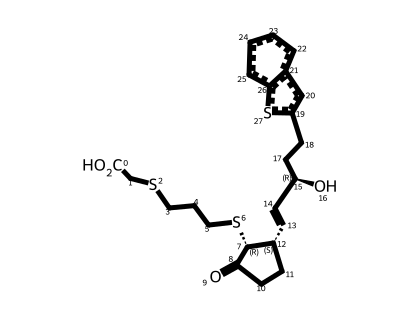 O=C(O)CSCCCS[C@H]1C(=O)CC[C@H]1C=C[C@H](O)CCc1cc2ccccc2s1